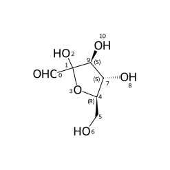 O=CC1(O)O[C@H](CO)[C@@H](O)[C@@H]1O